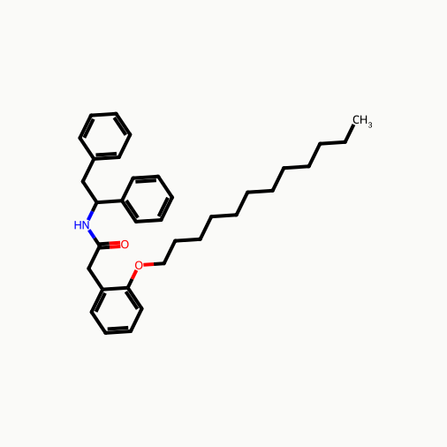 CCCCCCCCCCCCOc1ccccc1CC(=O)NC(Cc1ccccc1)c1ccccc1